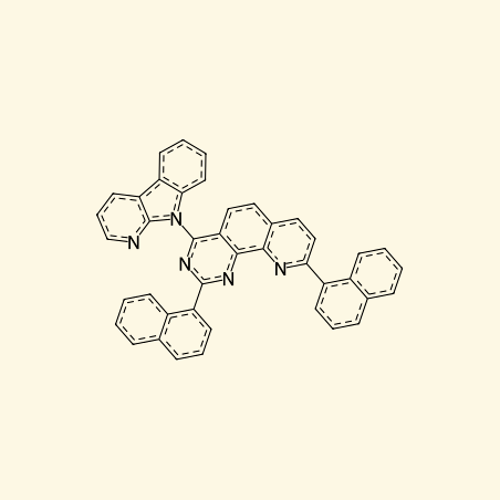 c1ccc2c(-c3ccc4ccc5c(-n6c7ccccc7c7cccnc76)nc(-c6cccc7ccccc67)nc5c4n3)cccc2c1